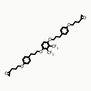 FC(F)(F)c1c(OCCCc2ccc(OCCCC3CO3)cc2)ccc(OCCCc2ccc(OCCCC3CO3)cc2)c1C(F)(F)F